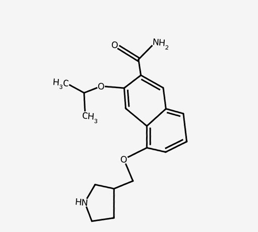 CC(C)Oc1cc2c(OCC3CCNC3)cccc2cc1C(N)=O